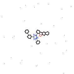 c1ccc(-c2cccc(-c3nc(-c4ccccc4)nc(-c4cccc5c4oc4cc6ccccc6cc45)n3)c2)cc1